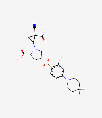 N#CC1(C(N)=O)CC1N1C[C@H](S(=O)(=O)c2ccc(N3CCC(F)(F)CC3)cc2Cl)C[C@H]1C(=O)O